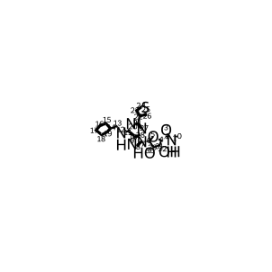 CNC(=O)[C@H]1O[C@H](n2cnc3c(NCc4ccccc4)nc(-c4ccsc4)nc32)[C@@H](O)[C@@H]1O